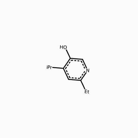 CCc1cc(C(C)C)c(O)cn1